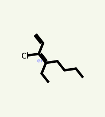 C=C/C(Cl)=C(/CC)CCCC